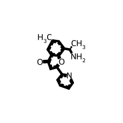 Cc1cc([C@@H](C)N)c2oc(-c3ccccn3)cc(=O)c2c1